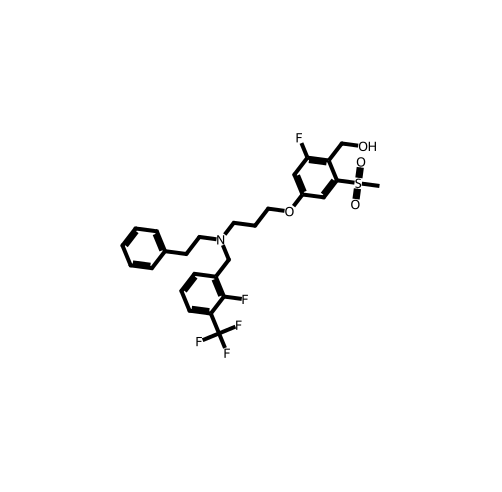 CS(=O)(=O)c1cc(OCCCN(CCc2ccccc2)Cc2cccc(C(F)(F)F)c2F)cc(F)c1CO